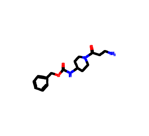 NCCC(=O)N1CCC(NC(=O)OCc2ccccc2)CC1